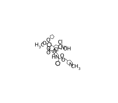 COc1ccc(C(Cc2c(Cl)c[n+](O)cc2Cl)c2cc(CNC(C(=O)OCC3CCN(C)CC3)c3ccccc3)sc2C(=O)[O-])cc1OC1CCCC1